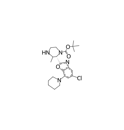 CC1NCCN(C(=O)OC(C)(C)C)[C@@H]1c1nc2cc(Cl)cc(N3CCCCC3)c2o1